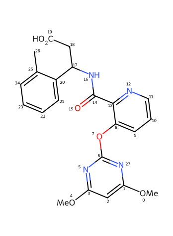 COc1cc(OC)nc(Oc2cccnc2C(=O)NC(CC(=O)O)c2ccccc2C)n1